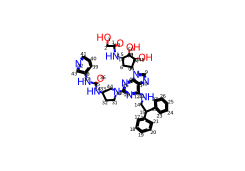 O=C(CO)N[C@H]1C[C@@H](n2cnc3c(NCC(c4ccccc4)c4ccccc4)nc(N4CCC(NC(=O)Nc5cccnc5)C4)nc32)[C@H](O)[C@@H]1O